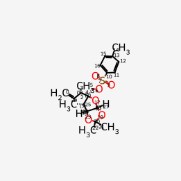 C=C[C@H](C)[C@@]1(COS(=O)(=O)c2ccc(C)cc2)O[C@@H]2OC(C)(C)O[C@@H]2[C@@H]1C